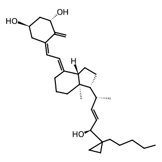 C=C1/C(=C\C=C2/CCC[C@]3(C)[C@@H]([C@H](C)/C=C/[C@H](O)C4(CCCCC)CC4)CC[C@@H]23)C[C@@H](O)C[C@@H]1O